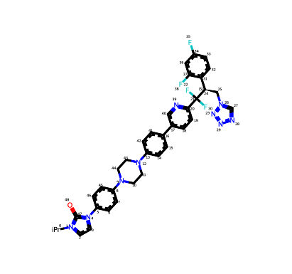 CC(C)n1ccn(-c2ccc(N3CCN(c4ccc(-c5ccc(C(F)(F)[C@H](Cn6cnnn6)c6ccc(F)cc6F)nc5)cc4)CC3)cc2)c1=O